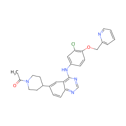 CC(=O)N1CCC(c2ccc3ncnc(Nc4ccc(OCc5ccccn5)c(Cl)c4)c3c2)CC1